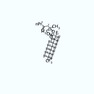 CCCC(=O)CS(C)(C)OS(=O)(=O)C(F)(F)C(F)(F)C(F)(F)C(F)(F)C(F)(F)C(F)(F)C(F)(F)C(F)(F)F